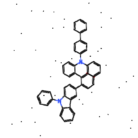 c1ccc(-c2ccc(N(c3ccccc3)c3ccccc3-c3ccccc3-c3ccc4c(c3)c3ccccc3n4-c3ccccc3)cc2)cc1